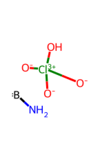 [B]N.[O-][Cl+3]([O-])([O-])O